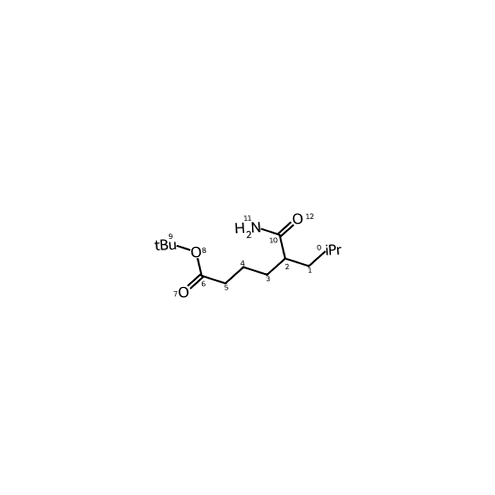 CC(C)CC(CCCC(=O)OC(C)(C)C)C(N)=O